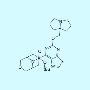 CC(C)(C)OC(=O)N1C2COCC1CN(c1nc(OCC34CCCN3CCC4)nc3scnc13)C2